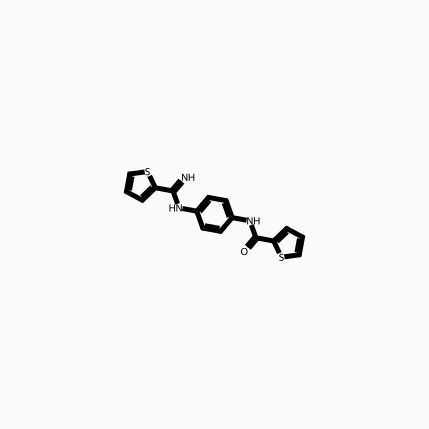 N=C(Nc1ccc(NC(=O)c2cccs2)cc1)c1cccs1